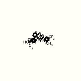 COc1ccc(C(C)(C)O)cc1C1=C(CN2C(=O)O[C@H](c3cc(C)cc(C(F)(F)F)c3)[C@@H]2C)CCCC1